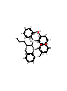 CCCCC(P(c1ccccc1C)c1ccccc1C)P(c1ccccc1C)c1ccccc1C